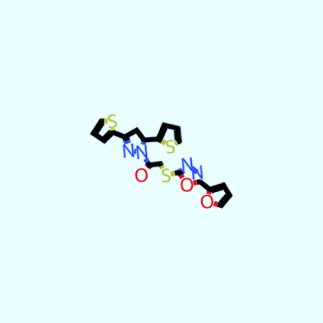 O=C(CSc1nnc(-c2ccco2)o1)N1N=C(c2cccs2)CC1c1cccs1